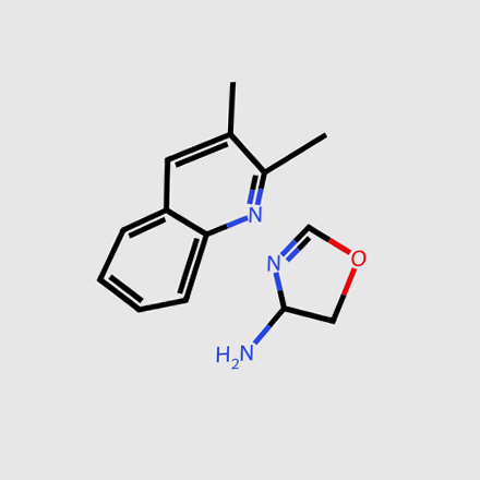 Cc1cc2ccccc2nc1C.NC1COC=N1